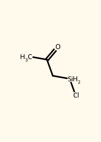 CC(=O)C[SiH2]Cl